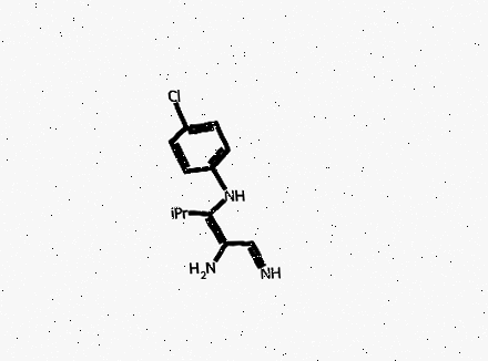 CC(C)/C(Nc1ccc(Cl)cc1)=C(\N)C=N